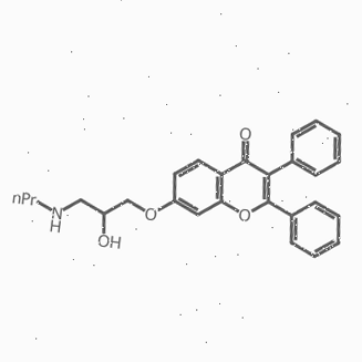 CCCNCC(O)COc1ccc2c(=O)c(-c3ccccc3)c(-c3ccccc3)oc2c1